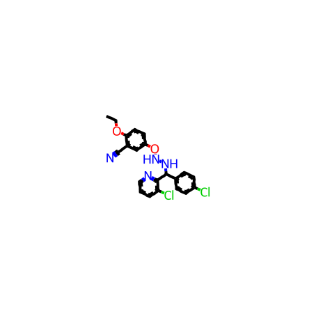 CCOc1ccc(ONNC(c2ccc(Cl)cc2)c2ncccc2Cl)cc1C#N